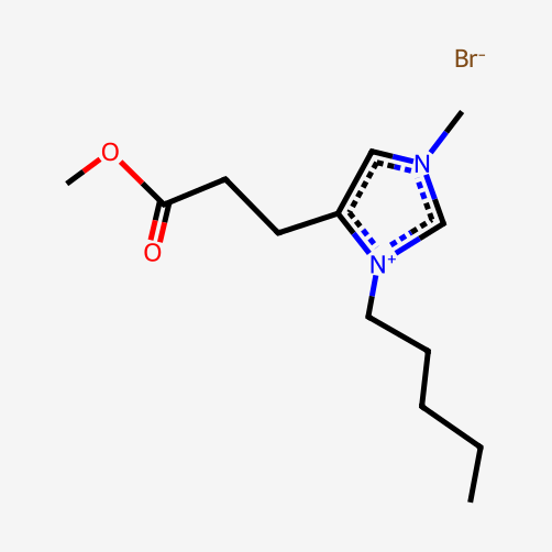 CCCCC[n+]1cn(C)cc1CCC(=O)OC.[Br-]